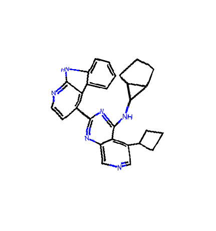 c1ccc2c(c1)[nH]c1nccc(-c3nc(NC4C5CCCC54)c4c(C5CCC5)cncc4n3)c12